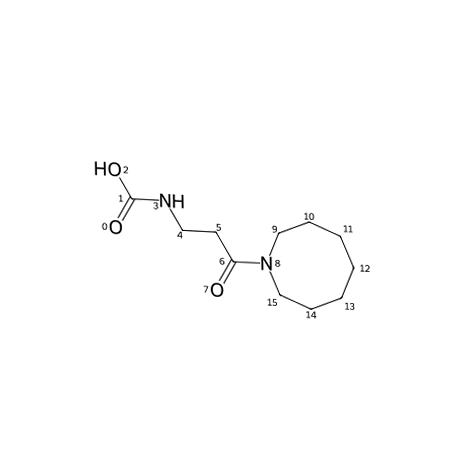 O=C(O)NCCC(=O)N1CCCCCCC1